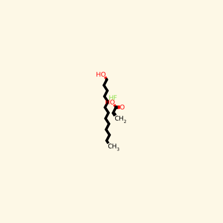 C=CC(=O)O.CCCCCCCCCCCCCO.F